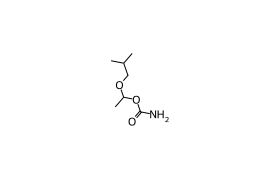 CC(C)COC(C)OC(N)=O